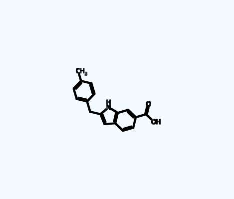 Cc1ccc(Cc2cc3ccc(C(=O)O)cc3[nH]2)cc1